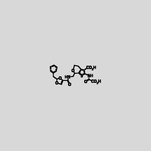 O=C(O)C(=O)Nc1sc2c(c1C(=O)O)CCOC2CNC(=O)C1=COC(Cc2ccccc2)O1